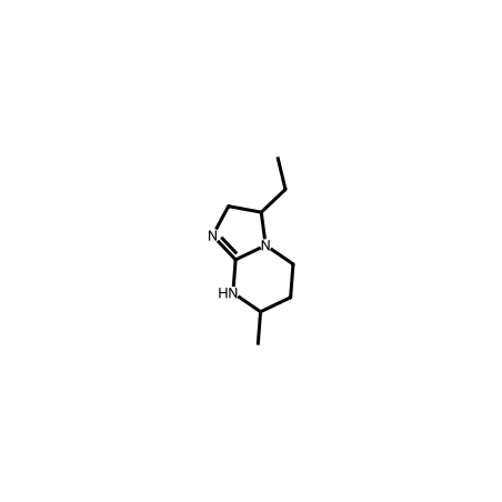 CCC1CN=C2NC(C)CCN21